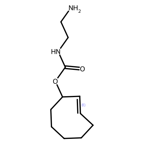 NCCNC(=O)OC1/C=C/CCCCC1